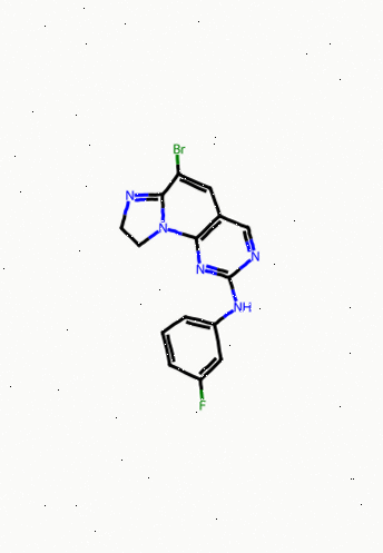 Fc1cccc(Nc2ncc3c(n2)N2CCN=C2C(Br)=C3)c1